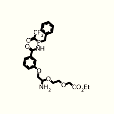 CCOC(=O)COCCOC(N)COc1cccc(C(=O)NP(Cc2ccccc2)C(=O)C(F)(F)F)c1